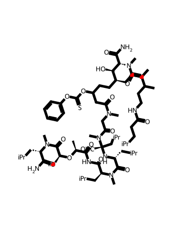 C/C=C/C[C@@H](CCC(CC(=O)N(C)CC(=O)N(C)[C@](C=O)(CC(C)C)N[C@H](CC(C)C)C(=O)N(C)[C@@H](CC(C)C)C(=O)NC(=O)[C@H](C)O[C@H](C(=O)N(C)[C@@H](CC(C)C)C(N)=O)C(C)C)OC(=S)Oc1ccccc1)[C@@H](O)[C@H](C(N)=O)N(C)C(=O)CC(C)CCNC(=O)CCC(C)C